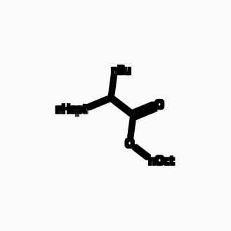 CCCCCCCCOC(=O)C(CCCC)CCCCCCC